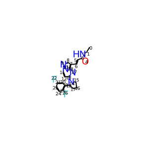 CCNC(=O)C=Cc1cnn2ccc(N3CCCC3c3cc(F)ccc3F)nc12